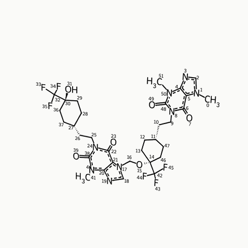 Cn1cnc2c1c(=O)n(CC[C@H]1CC[C@](OCn3cnc4c3c(=O)n(CC[C@H]3CC[C@@](O)(C(F)(F)F)CC3)c(=O)n4C)(C(F)(F)F)CC1)c(=O)n2C